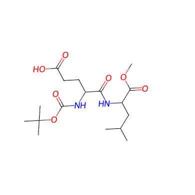 COC(=O)C(CC(C)C)NC(=O)C(CCC(=O)O)NC(=O)OC(C)(C)C